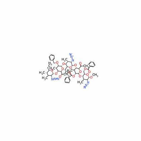 CCC1O[C@H](O[C@@H]2C(C(C)=O)O[C@@H](O[C@@H]3C(CC)O[C@H](O[C@@H]4C(C(C)=O)O[C@@H](O[C@@H]5C(COC(=O)c6ccccc6)O[C@H](OC)C(N=[N+]=[N-])[C@H]5C)C(OC(=O)c5ccccc5)[C@H]4C)C(N=[N+]=[N-])[C@H]3C)C(OCc3ccccc3)[C@H]2C)C(N=[N+]=[N-])[C@@H](C)[C@@H]1C